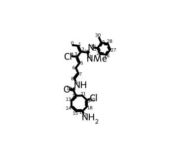 C/C=C(C(\Cl)=C\C/C=C/NC(=O)/C1=C/C=C=C(N)/C=C(/Cl)C1)/C(=N/c1ccccc1C)NC